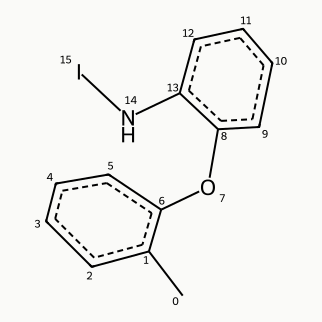 Cc1ccccc1Oc1ccccc1NI